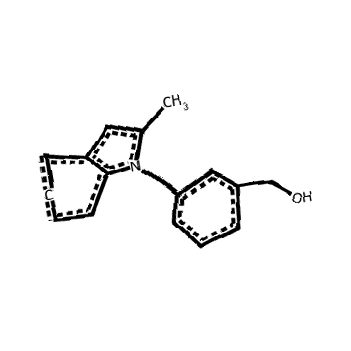 Cc1cc2ccccc2n1-c1cccc(CO)c1